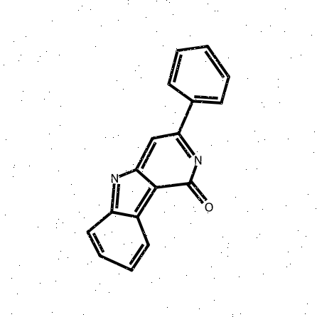 O=C1N=C(c2ccccc2)C=C2N=c3ccccc3=C12